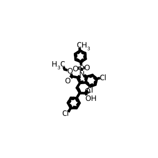 CCOC(=O)c1c(/C=C(\C(=O)O)c2ccc(Cl)cc2)c2c(Cl)cc(Cl)cc2n1S(=O)(=O)c1ccc(C)cc1